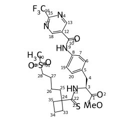 COC(=O)[C@H](Cc1ccc(NC(=O)c2cnc(C(F)(F)F)nc2)cc1)NC(=S)C1(CCCCS(C)(=O)=O)CCC1